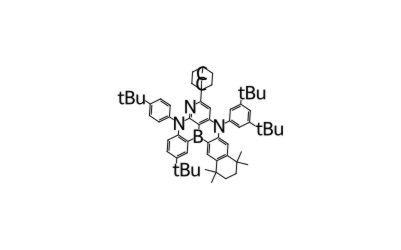 CC(C)(C)c1ccc(N2c3ccc(C(C)(C)C)cc3B3c4cc5c(cc4N(c4cc(C(C)(C)C)cc(C(C)(C)C)c4)c4cc(C67CCC(CC6)CC7)nc2c43)C(C)(C)CCC5(C)C)cc1